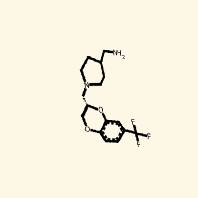 NCC1CCN(C[C@H]2COc3ccc(C(F)(F)F)cc3O2)CC1